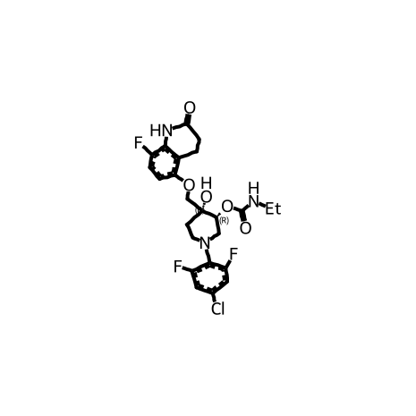 CCNC(=O)O[C@@H]1CN(c2c(F)cc(Cl)cc2F)CC[C@@]1(O)COc1ccc(F)c2c1CCC(=O)N2